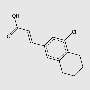 O=C(O)/C=C/c1cc(Cl)c2c(c1)CCCC2